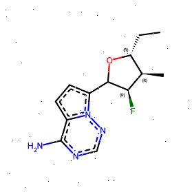 CC[C@H]1OC(c2ccc3c(N)ncnn23)[C@H](F)[C@@H]1C